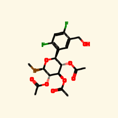 CS[C@H]1O[C@@H](c2cc(CO)c(F)cc2F)[C@H](OC(C)=O)[C@@H](OC(C)=O)[C@@H]1OC(C)=O